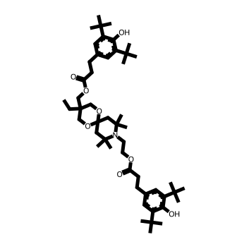 CCC1(COC(=O)CCc2cc(C(C)(C)C)c(O)c(C(C)(C)C)c2)COC2(CC(C)(C)N(CCOC(=O)CCc3cc(C(C)(C)C)c(O)c(C(C)(C)C)c3)C(C)(C)C2)OC1